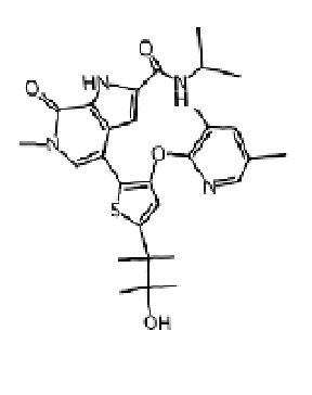 Cc1cnc(Oc2cc(C(C)(C)C(C)(C)O)sc2-c2cn(C)c(=O)c3[nH]c(C(=O)NC(C)C)cc23)c(C)c1